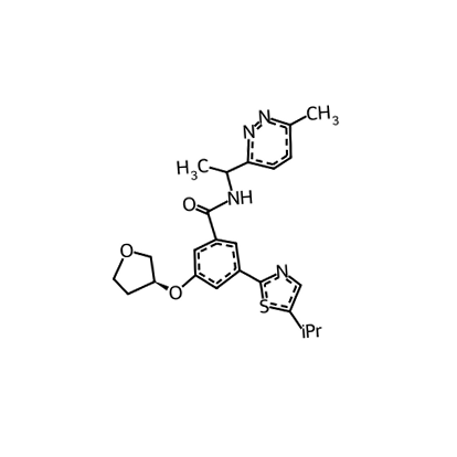 Cc1ccc(C(C)NC(=O)c2cc(O[C@H]3CCOC3)cc(-c3ncc(C(C)C)s3)c2)nn1